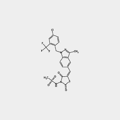 Cc1nn(Cc2ccc(Cl)cc2C(F)(F)F)c2ccc(C=C3SC(=O)N(NS(C)(=O)=O)C3=O)cc12